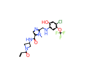 C=CC(=O)N1CC(NC(=O)c2cnc(CNc3cc(OC(F)(F)F)c(Cl)cc3O)n2C)C1